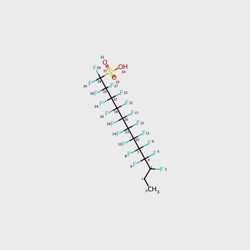 CCC(F)C(F)(F)C(F)(F)C(F)(F)C(F)(F)C(F)(F)C(F)(F)C(F)(F)C(F)(F)C(F)(F)S(=O)(=O)O